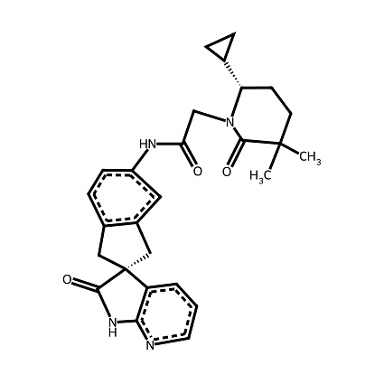 CC1(C)CC[C@@H](C2CC2)N(CC(=O)Nc2ccc3c(c2)C[C@@]2(C3)C(=O)Nc3ncccc32)C1=O